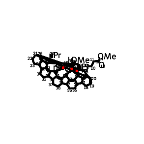 CCCS[C@@]12C3=C4[C@H]5C6=C3[C@@]3(SCCC(=O)OC)C7=C1C1CC=C7C7CCC8C(=C73)[C@@]6(SCCC)C3=C6C(CCC38)C3CCC7C(=C3[C@]65SCCC(=O)OC)[C@@]4(SCCC)C3=C2C1CCC37